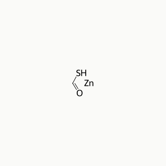 O=CS.[Zn]